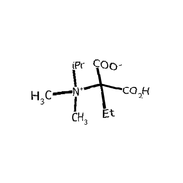 CCC(C(=O)[O-])(C(=O)O)[N+](C)(C)C(C)C